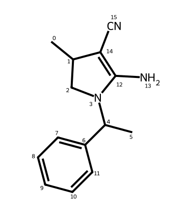 CC1CN(C(C)c2ccccc2)C(N)=C1C#N